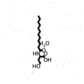 CCCCCCCCCCCC(=O)NC(CCO)C(=O)O.O